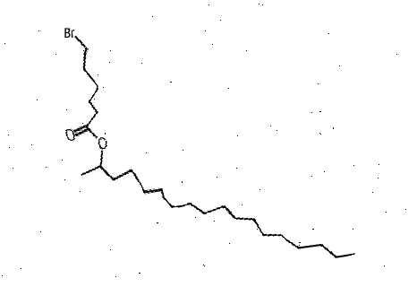 CCCCCCCCCCCCCCCCC(C)OC(=O)CCCCCBr